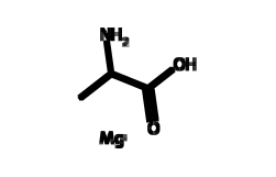 CC(N)C(=O)O.[Mg]